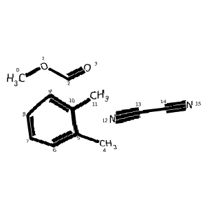 COC=O.Cc1ccccc1C.N#CC#N